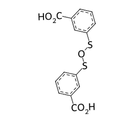 O=C(O)c1cccc(SOSc2cccc(C(=O)O)c2)c1